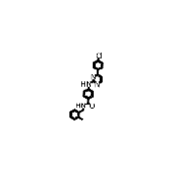 Cc1ccccc1CNC(=O)c1ccc(Nc2nccc(-c3ccc(Cl)cc3)n2)cc1